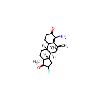 C=C1C[C@@H]2[C@H](CC[C@]3(C)C(=O)C(F)C[C@@H]23)[C@@]2(C)CCC(=O)C(N)=C12